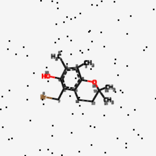 Cc1c(C)c2c(c(CBr)c1O)CCC(C)(C)O2